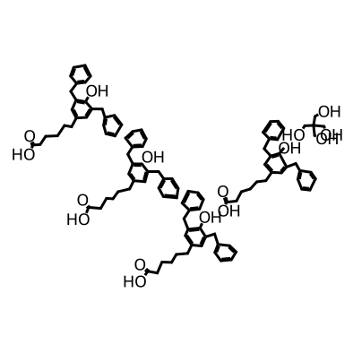 O=C(O)CCCCCc1cc(Cc2ccccc2)c(O)c(Cc2ccccc2)c1.O=C(O)CCCCCc1cc(Cc2ccccc2)c(O)c(Cc2ccccc2)c1.O=C(O)CCCCCc1cc(Cc2ccccc2)c(O)c(Cc2ccccc2)c1.O=C(O)CCCCCc1cc(Cc2ccccc2)c(O)c(Cc2ccccc2)c1.OCC(CO)(CO)CO